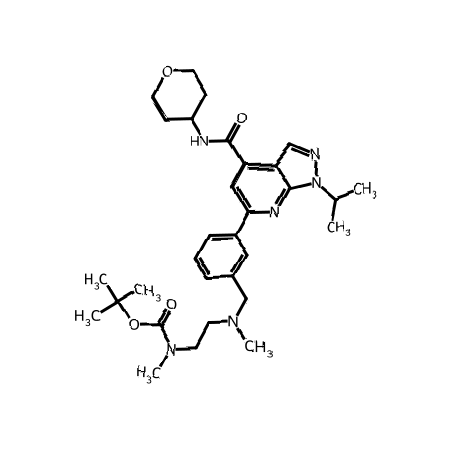 CC(C)n1ncc2c(C(=O)NC3CCOCC3)cc(-c3cccc(CN(C)CCN(C)C(=O)OC(C)(C)C)c3)nc21